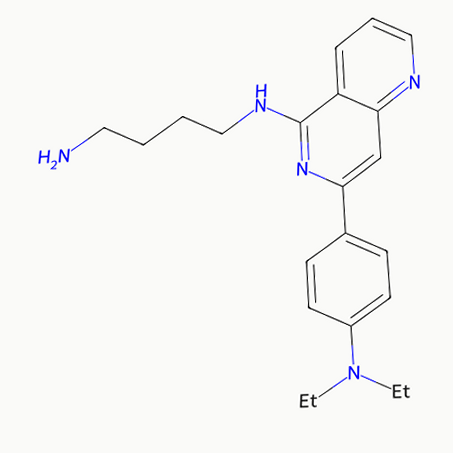 CCN(CC)c1ccc(-c2cc3ncccc3c(NCCCCN)n2)cc1